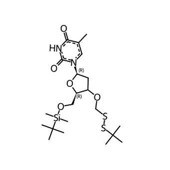 Cc1cn([C@H]2CC(OCSSC(C)(C)C)[C@@H](CO[Si](C)(C)C(C)(C)C)O2)c(=O)[nH]c1=O